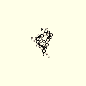 O=S(=O)(OCCCC1(CCCOS(=O)(=O)c2ccc(C(F)(F)F)cc2)c2cc(OS(=O)(=O)c3ccc(C(F)(F)F)cc3)ccc2-c2ccc(OS(=O)(=O)c3ccc(C(F)(F)F)cc3)cc21)c1ccc(C(F)(F)F)cc1